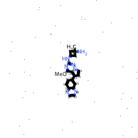 COc1nc(NC2CC(C)(N)C2)nn2ccc(-c3ccc4nccnc4c3)c12